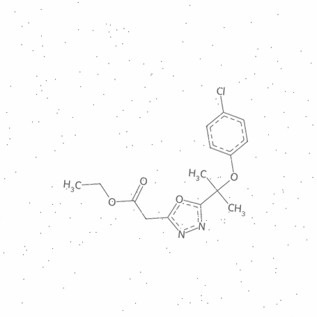 CCOC(=O)Cc1nnc(C(C)(C)Oc2ccc(Cl)cc2)o1